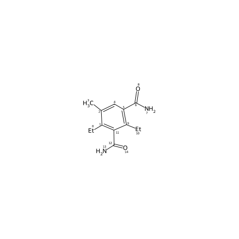 CCc1c(C)cc(C(N)=O)c(CC)c1C(N)=O